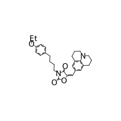 CCOc1ccc(CCCCN2C(=O)O/C(=C/c3cc4c5c(c3)CCCN5CCC4)C2=O)cc1